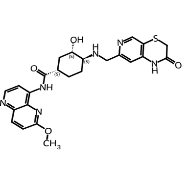 COc1ccc2nccc(NC(=O)[C@H]3CC[C@H](NCc4cc5c(cn4)SCC(=O)N5)[C@@H](O)C3)c2n1